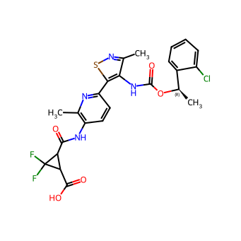 Cc1nc(-c2snc(C)c2NC(=O)O[C@H](C)c2ccccc2Cl)ccc1NC(=O)C1C(C(=O)O)C1(F)F